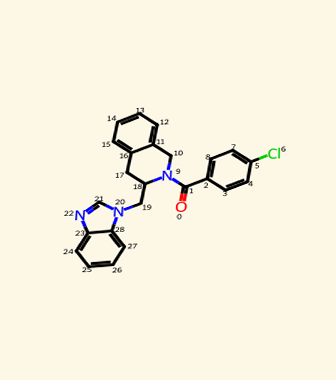 O=C(c1ccc(Cl)cc1)N1Cc2ccccc2CC1Cn1cnc2ccccc21